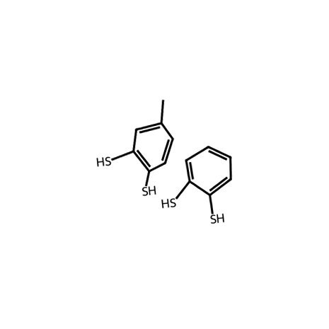 Cc1ccc(S)c(S)c1.Sc1ccccc1S